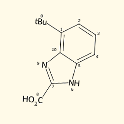 CC(C)(C)c1cccc2[nH]c(C(=O)O)nc12